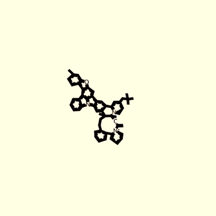 C=C1CC2(C)[n+]3ccc(CC(C)(C)C)cc3-c3cc4c5cc6oc7cc(C)ccc7c6c6c7ccccc7n(c4cc3C2(C)CCc2ccccc2-c2cccc[n+]21)c56